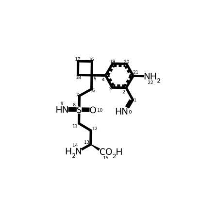 N=Cc1cc(C2(CCS(=N)(=O)CC[C@H](N)C(=O)O)CCC2)ccc1N